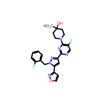 O=C(O)C1(O)CCN(c2nc(-c3cc(-c4ccon4)n(Cc4ccccc4F)n3)ncc2F)CC1